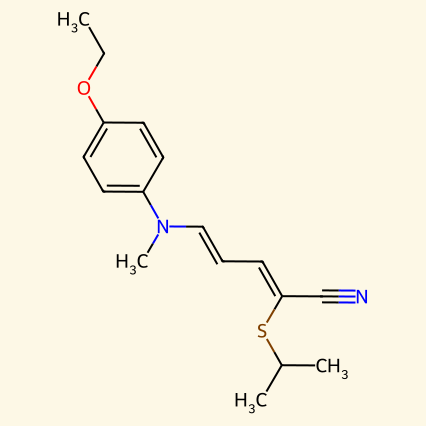 CCOc1ccc(N(C)/C=C/C=C(/C#N)SC(C)C)cc1